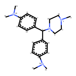 CN1CCN(C(c2ccc(N(C)C)cc2)c2ccc(N(C)C)cc2)CC1